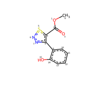 COC(=O)c1snnc1-c1ccccc1O